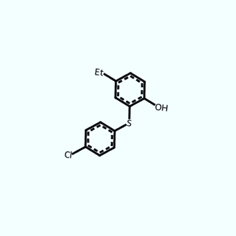 CCc1ccc(O)c(Sc2ccc(Cl)cc2)c1